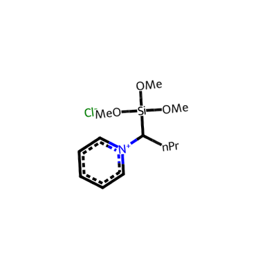 CCCC([n+]1ccccc1)[Si](OC)(OC)OC.[Cl-]